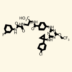 O=C(NC[C@H](NC(=O)c1ccc(Nc2nc(NC3(c4ccc(Cl)cc4)CC3)nc(OCC(F)(F)F)n2)cc1)C(=O)O)C(=O)Nc1cccc(F)c1